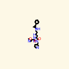 O=C(NC(CCCCNC1CC1c1ccccc1)C(=O)NCc1cccnc1)c1cnco1